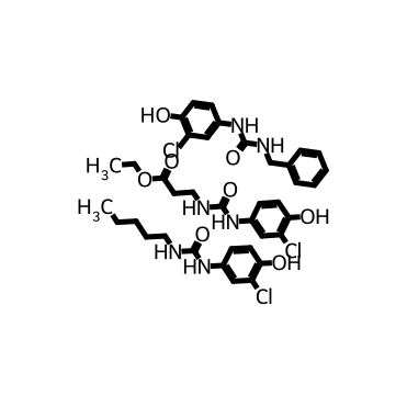 CCCCCNC(=O)Nc1ccc(O)c(Cl)c1.CCOC(=O)CCNC(=O)Nc1ccc(O)c(Cl)c1.O=C(NCc1ccccc1)Nc1ccc(O)c(Cl)c1